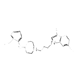 CC(=O)c1cn(CCCN2CCC(Oc3ccccc3Cl)CC2)c2cc(Br)ccc12